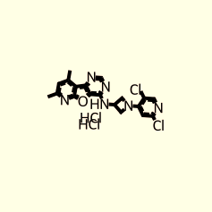 Cc1cc(C)c2c(n1)oc1c(NC3CN(c4cc(Cl)ncc4Cl)C3)ncnc12.Cl.Cl